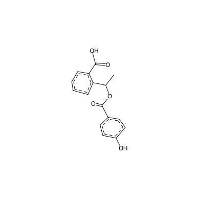 CC(OC(=O)c1ccc(O)cc1)c1ccccc1C(=O)O